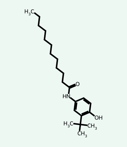 CCCCCCCCCCCC(=O)Nc1ccc(O)c(C(C)(C)C)c1